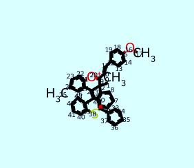 CCC1(c2ccccc2)C(C=Cc2ccc(OC)cc2)=[O+]c2ccc(C)cc2C1=C1C=C(c2ccccc2)Sc2ccccc21